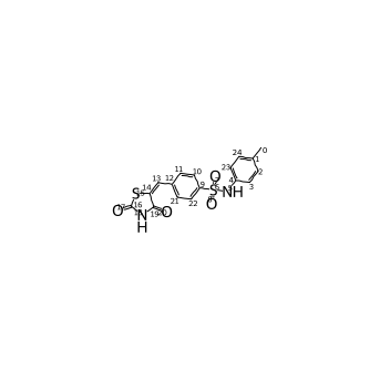 Cc1ccc(NS(=O)(=O)c2ccc(/C=C3/SC(=O)NC3=O)cc2)cc1